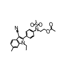 CCn1c(-c2ccc(N(CCOC(C)=O)S(C)(=O)=O)cc2)c(C#N)c2ccc(C)cc21